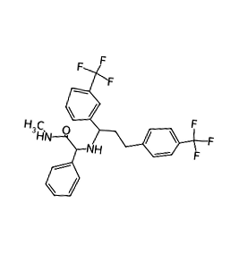 CNC(=O)C(NC(CCc1ccc(C(F)(F)F)cc1)c1cccc(C(F)(F)F)c1)c1ccccc1